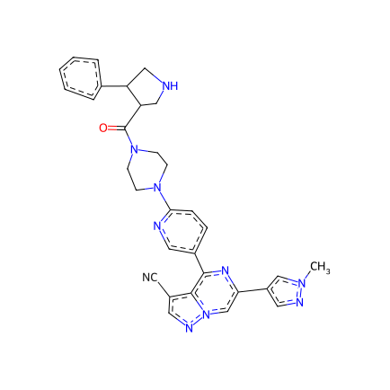 Cn1cc(-c2cn3ncc(C#N)c3c(-c3ccc(N4CCN(C(=O)C5CNCC5c5ccccc5)CC4)nc3)n2)cn1